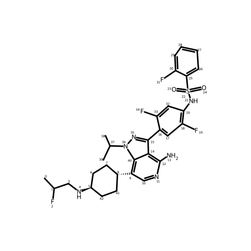 CC(F)CN[C@H]1CC[C@H](c2cnc(N)c3c(-c4cc(F)c(NS(=O)(=O)c5ccccc5F)cc4F)nn(C(C)C)c32)CC1